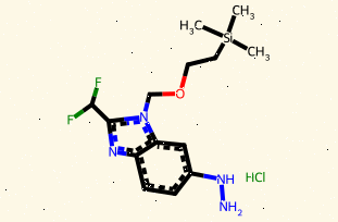 C[Si](C)(C)CCOCn1c(C(F)F)nc2ccc(NN)cc21.Cl